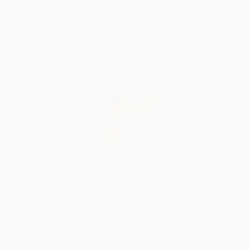 O=C([O-])C1(C(=O)[O-])CCCC1.[Ag+2]